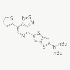 CCCCN(CCCC)c1cc2sc(-c3ncc(C4=CCCS4)c4nsnc34)cc2s1